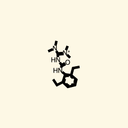 CCc1cccc(CC)c1NC(=O)NC(N(C)C)=[N+](C)C